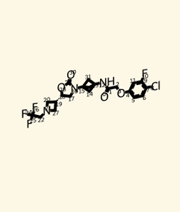 O=C(COc1ccc(Cl)c(F)c1)NC12CC(N3C[C@H](C4CN(CC(F)(F)F)C4)OC3=O)(C1)C2